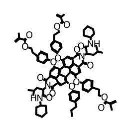 C=C(C)C(=O)OCCc1ccc(Oc2cc3c4c(cc(Oc5ccc(CCC)cc5)c5c6c(Oc7ccc(CCOC(=O)C(=C)C)cc7)cc7c8c(cc(Oc9ccc(CCOC(=O)C(=C)C)cc9)c(c2c45)c86)C(=O)N(C(CC(C)C)C(=O)NC2CCCCC2)C7=O)C(=O)N(C(CC(C)C)C(=O)NC2CCCCC2)C3=O)cc1